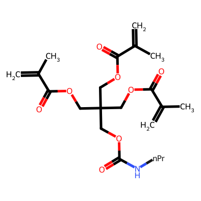 C=C(C)C(=O)OCC(COC(=O)NCCC)(COC(=O)C(=C)C)COC(=O)C(=C)C